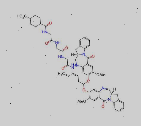 C=C/C(=C\CC(Oc1cc2c(cc1OC)C(=O)N1c3ccccc3C[C@H]1C=N2)Oc1cc2c(cc1OC)C(=O)N1c3ccccc3C[C@H]1CN2)NC(=O)CNC(=O)CNC(=O)CNC(=O)C1CCC(C(=O)O)CC1